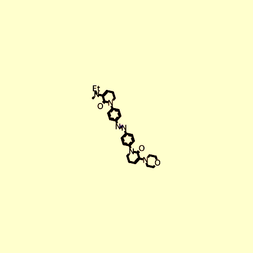 CCN(C)C1=CCCN(c2ccc(/N=N/c3ccc(N4CCC=C(N5CCOCC5)C4=O)cc3)cc2)C1=O